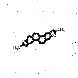 Cc1cc2cc3c(ccc4c5cc6cc(C)oc6cc5ccc34)cc2o1